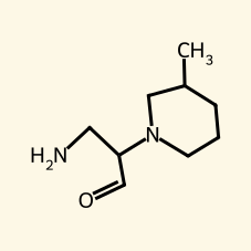 CC1CCCN(C(C=O)CN)C1